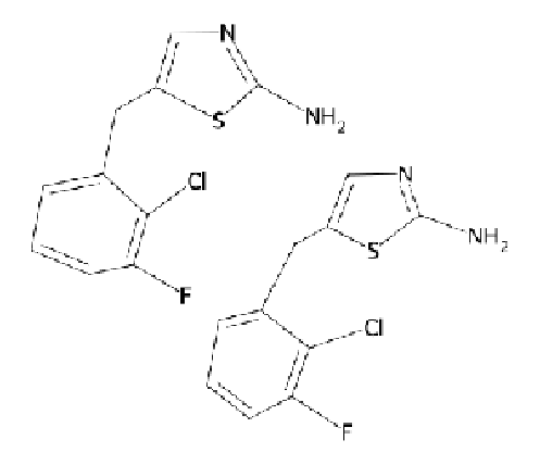 Nc1ncc(Cc2cccc(F)c2Cl)s1.Nc1ncc(Cc2cccc(F)c2Cl)s1